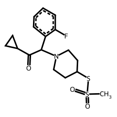 CS(=O)(=O)SC1CCN(C(C(=O)C2CC2)c2ccccc2F)CC1